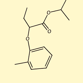 CCC(Oc1ccccc1C)C(=O)OC(C)C